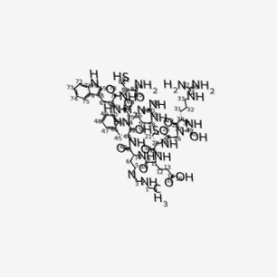 CCN/C=N\CC[C@H](NC(=O)[C@H](CCC(=O)O)NC(=O)[C@H](CS)NC(=O)CN1C(=O)[C@H](CCCNC(N)N)NC1O)C(=O)N[C@H](Cc1ccccc1)C(=O)N[C@@H](CCCNC(=N)N)C(=O)N[C@@H](Cc1c[nH]c2ccccc12)C(=O)N[C@@H](CS)C(N)=O